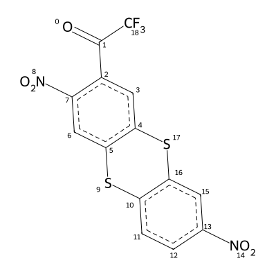 O=C(c1cc2c(cc1[N+](=O)[O-])Sc1ccc([N+](=O)[O-])cc1S2)C(F)(F)F